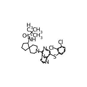 CC(C)(C)[S+]([O-])N[C@@H]1CCCC12CCN(c1ncc(Sc3cccc(Cl)c3Cl)c3nccn13)CC2